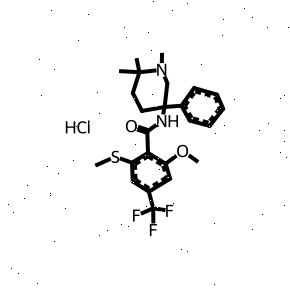 COc1cc(C(F)(F)F)cc(SC)c1C(=O)NC1(c2ccccc2)CCC(C)(C)N(C)C1.Cl